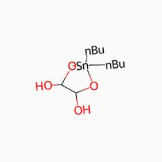 CCC[CH2][Sn]1([CH2]CCC)[O]C(O)C(O)[O]1